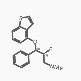 CNC[C@H](F)[C@H](Oc1cccc2sccc12)c1ccccc1